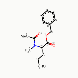 COC(=O)N(C)[C@@H](CCC=O)C(=O)OCc1ccccc1